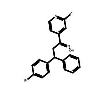 O/N=C(\CC(c1ccccc1)c1ccc(Br)cc1)c1ccnc(Cl)c1